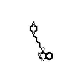 CN1CCN(CCCCCOc2ncnc3ccccc23)CC1